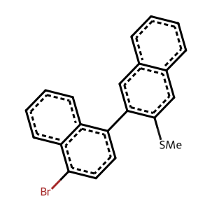 CSc1cc2ccccc2cc1-c1ccc(Br)c2ccccc12